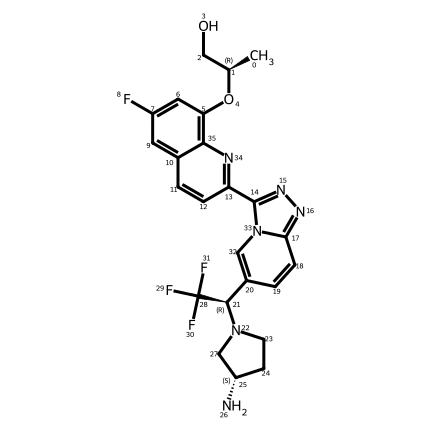 C[C@H](CO)Oc1cc(F)cc2ccc(-c3nnc4ccc([C@@H](N5CC[C@H](N)C5)C(F)(F)F)cn34)nc12